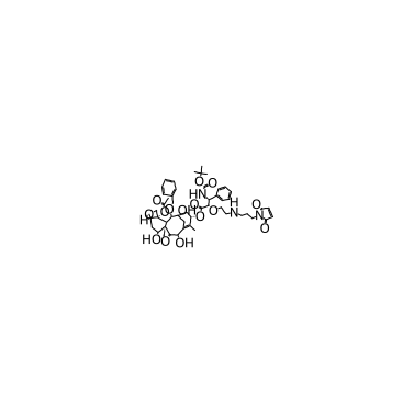 CC(=O)O[C@@]12CO[C@H]1C[C@H](O)[C@@]1(C)C(=O)[C@H](O)C3=C(C)[C@@H](OC(=O)[C@@H](OCCNCCCN4C(=O)C=CC4=O)[C@@H](NC(=O)OC(C)(C)C)c4ccccc4)C[C@](O)(C3)C(OCc3ccccc3)C12